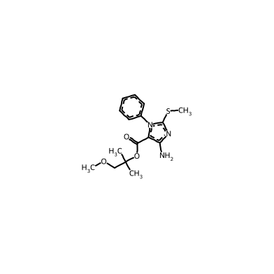 COCC(C)(C)OC(=O)c1c(N)nc(SC)n1-c1ccccc1